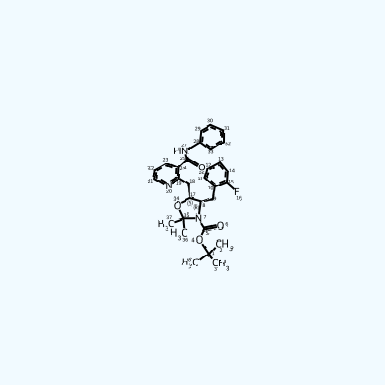 CC(C)(C)OC(=O)N1[C@H](Cc2ccccc2F)[C@H](Cc2ncccc2C(=O)Nc2ccccc2)OC1(C)C